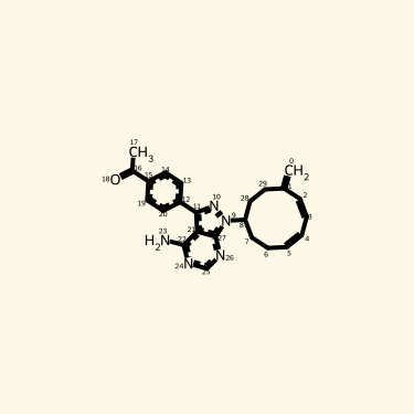 C=C1/C=C\C=C/CCC(n2nc(-c3ccc(C(C)=O)cc3)c3c(N)ncnc32)CC1